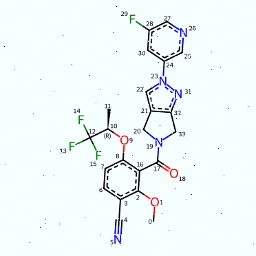 COc1c(C#N)ccc(O[C@H](C)C(F)(F)F)c1C(=O)N1Cc2cn(-c3cncc(F)c3)nc2C1